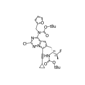 C[C@H](F)[C@@H](Cc1cc2c(N(Cc3ccco3)C(=O)OC(C)(C)C)nc(Cl)nn2c1C#CC1CC1)NC(=O)OC(C)(C)C